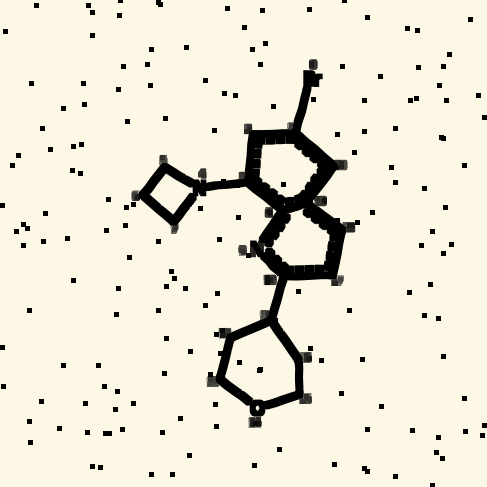 Brc1cc(N2CCC2)c2nc(C3CCOCC3)ccc2c1